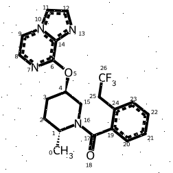 C[C@@H]1CC[C@@H](Oc2nccn3ccnc23)CN1C(=O)c1ccccc1CC(F)(F)F